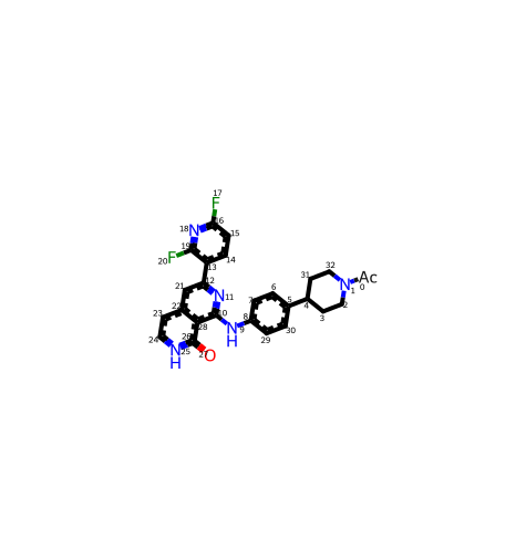 CC(=O)N1CCC(c2ccc(Nc3nc(-c4ccc(F)nc4F)cc4cc[nH]c(=O)c34)cc2)CC1